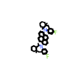 CC1C2CCCCC2(C)Cc2cc(F)ccc2N1c1ccc2ccc3c(N4c5ccc(F)cc5CC5(C)CCCCC45C)ccc4ccc1c2c43